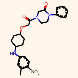 Cc1cc(NC2CCC(OCC(=O)N3CCN(c4ccccc4)C(=O)C3)CC2)ccc1[N+](=O)[O-]